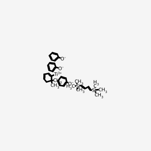 CC1(C)CC=CC=[C]1[Ti+3].C[Si](C)(C)C=CC=C[Si](C)(C)C.[O-]c1ccccc1.[O-]c1ccccc1.[O-]c1ccccc1